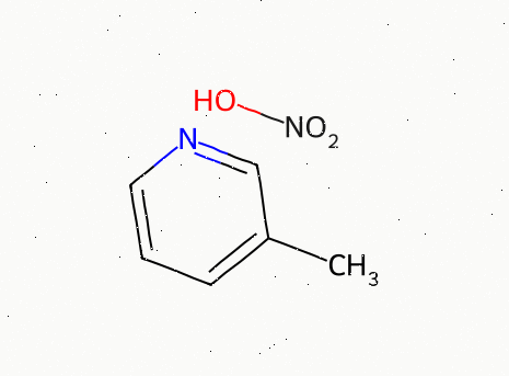 Cc1cccnc1.O=[N+]([O-])O